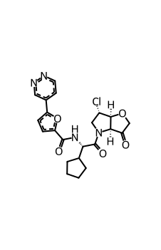 O=C(N[C@H](C(=O)N1C[C@H](Cl)[C@H]2OCC(=O)[C@H]21)C1CCCC1)c1ccc(-c2ccnnc2)o1